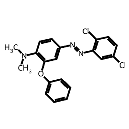 CN(C)c1ccc(N=Nc2cc(Cl)ccc2Cl)cc1Oc1ccccc1